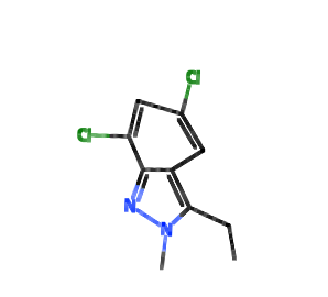 CCc1c2cc(Cl)cc(Cl)c2nn1C